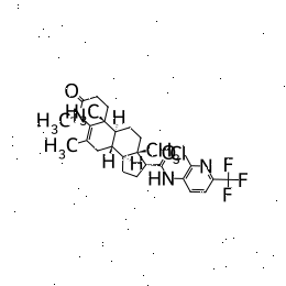 CC1=C2N(C)C(=O)CC[C@]2(C)[C@H]2CC[C@]3(C)[C@@H](C(=O)Nc4ccc(C(F)(F)F)nc4Cl)CC[C@H]3[C@@H]2C1